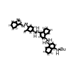 CCC(C)Nc1ccc(NNc2ccc(NNc3ccc(/N=N/c4snc5ccccc45)c(C)c3)c3ccccc23)c2ccccc12